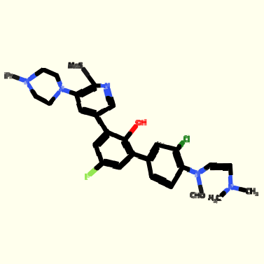 CSc1ncc(-c2cc(F)cc(-c3ccc(N(C=O)/C=C\N(C)C)c(Cl)c3)c2O)cc1N1CCN(C(C)C)CC1